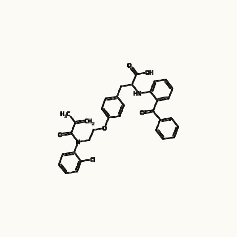 C=C(C)C(=O)N(CCOc1ccc(CC(Nc2ccccc2C(=O)c2ccccc2)C(=O)O)cc1)c1ccccc1Cl